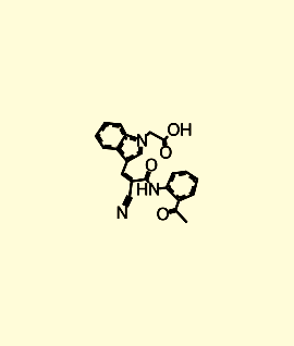 CC(=O)c1ccccc1NC(=O)C(C#N)=Cc1cn(CC(=O)O)c2ccccc12